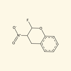 O=[N+]([O-])C1Cc2ccccc2OC1F